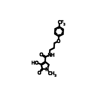 CN1CC(C(=O)NCCCOc2ccc(C(F)(F)F)cc2)=C(O)C1=O